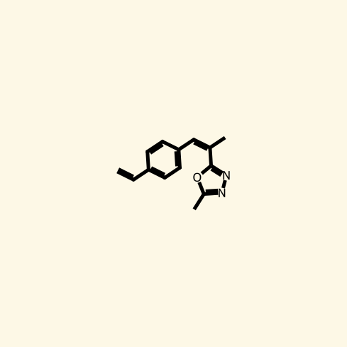 C=Cc1ccc(C=C(C)c2nnc(C)o2)cc1